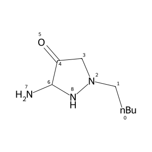 CCCCCN1CC(=O)C(N)N1